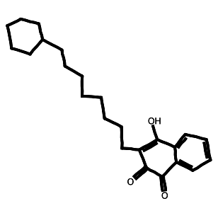 O=C1C(=O)c2ccccc2C(O)=C1CCCCCCCCC1CCCCC1